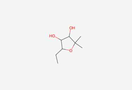 CCC1OC(C)(C)C(O)C1O